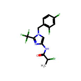 CC(Br)C(=O)Nc1cn(Cc2ccc(F)cc2F)c(C(F)(F)F)n1